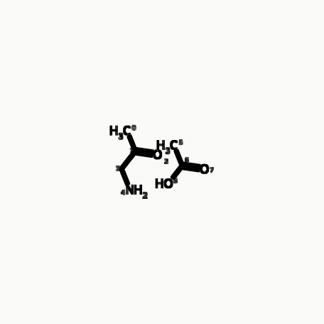 CC(=O)CN.CC(=O)O